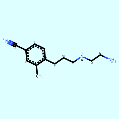 Cc1cc(C#N)ccc1CCCNCCN